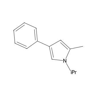 Cc1cc(-c2ccccc2)cn1C(C)C